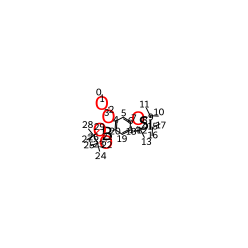 COCOc1cc(O[Si](C(C)C)(C(C)C)C(C)C)ccc1B1OC(C)(C)C(C)(C)O1